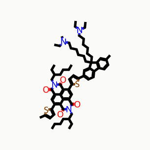 CCCCC(CC)CN1C(=O)c2cc(-c3ccc(-c4ccc5c(c4)C(CCCCCCN(C)CC)(CCCCCCN(CC)CC)c4cc(C)ccc4-5)s3)c3c4c(cc(-c5ccc(C)s5)c(c24)C1=O)C(=O)N(CC(CC)CCCC)C3=O